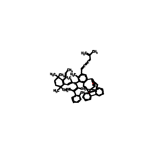 C=C(C)C=C=C=Cc1cc2c(c(N(/C(C)=C(\S)c3ccccc3C)/C(C)=C/C3=C(C=CC)C(C)(C)CCC3(C)C)c1C)/C=C1/C=C\C=C/c3c-2cccc3C12c1ccccc1-c1ccccc12